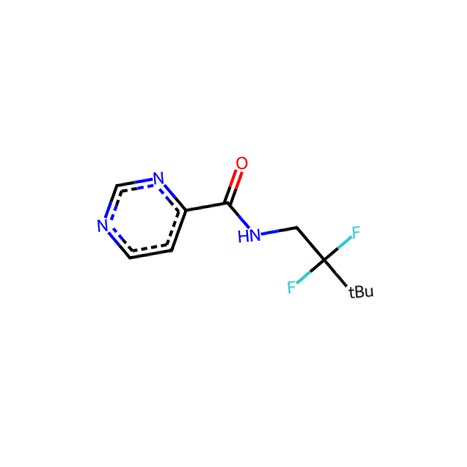 CC(C)(C)C(F)(F)CNC(=O)c1ccncn1